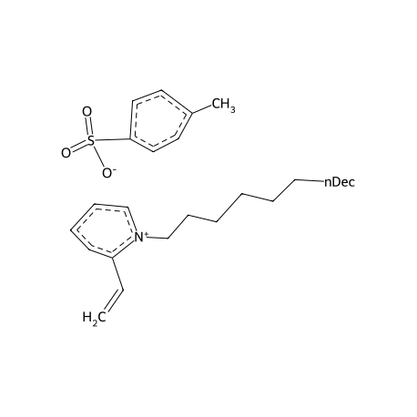 C=Cc1cccc[n+]1CCCCCCCCCCCCCCCC.Cc1ccc(S(=O)(=O)[O-])cc1